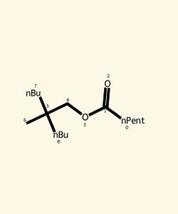 CCCCCC(=O)OCC(C)(CCCC)CCCC